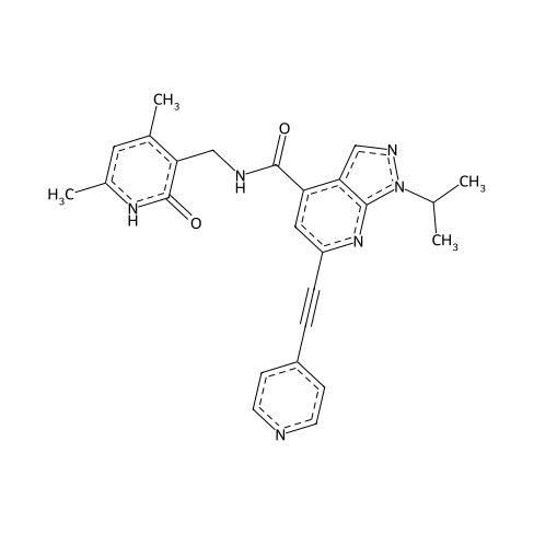 Cc1cc(C)c(CNC(=O)c2cc(C#Cc3ccncc3)nc3c2cnn3C(C)C)c(=O)[nH]1